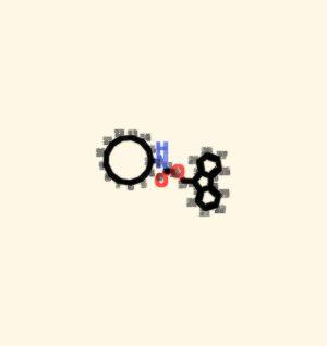 O=C(NC1CCCCCCCCCCCC1)OCC1c2ccccc2-c2ccccc21